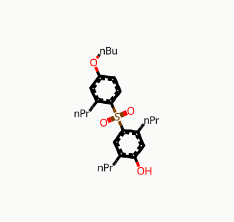 CCCCOc1ccc(S(=O)(=O)c2cc(CCC)c(O)cc2CCC)c(CCC)c1